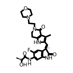 Cc1c(/C=C2/C(=O)Nc3cc(NC(=O)[C@H](C)O)c(F)cc32)[nH]c2c1C(=O)N(CCN1CCOCC1)CC2